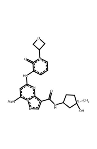 CNc1cc(Nc2cccn(C3COC3)c2=O)nc2c(C(=O)NC3CC[C@@](C)(O)C3)cnn12